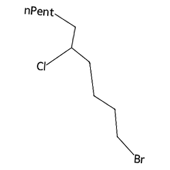 CCCCCCC(Cl)CCCCBr